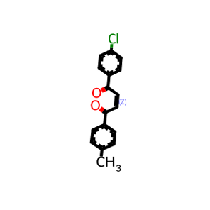 Cc1ccc(C(=O)/C=C\C(=O)c2ccc(Cl)cc2)cc1